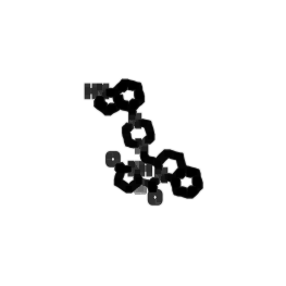 O=C1CC[C@H](C(=O)N2c3ccccc3CCC2CN2CCN(c3cccc4[nH]ccc34)CC2)N1